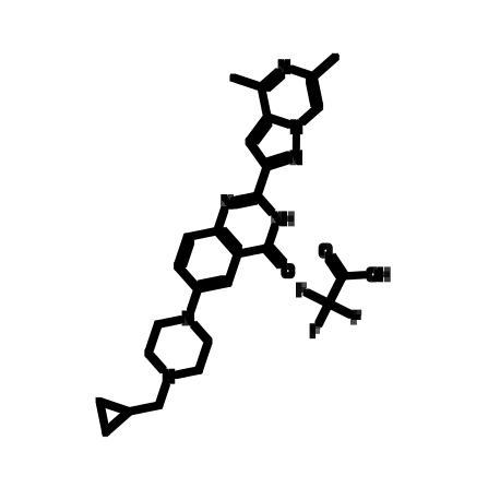 Cc1cn2nc(-c3nc4ccc(N5CCN(CC6CC6)CC5)cc4c(=O)[nH]3)cc2c(C)n1.O=C(O)C(F)(F)F